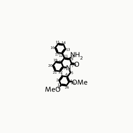 COc1ccc(Cn2c(=O)c(N)c(-c3ccccc3)c3ccccc32)c(OC)c1